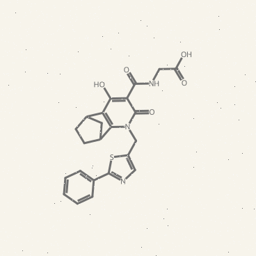 O=C(O)CNC(=O)c1c(O)c2c(n(Cc3cnc(-c4ccccc4)s3)c1=O)C1CCC2C1